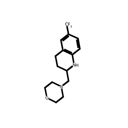 FC(F)(F)c1ccc2c(c1)CCC(CN1CCOCC1)N2